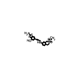 C=CS(=O)(=O)N1CCc2ccc(NCC#Cc3cc(O)c4nc(N)sc4c3)cc2C1